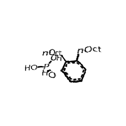 CCCCCCCCc1ccccc1CCCCCCCC.O=[PH](O)O